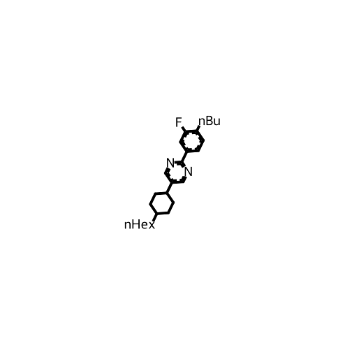 CCCCCCC1CCC(c2cnc(-c3ccc(CCCC)c(F)c3)nc2)CC1